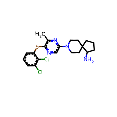 Cc1nc(N2CCC3(CCCC3N)CC2)cnc1Sc1cccc(Cl)c1Cl